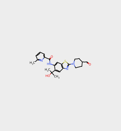 Cc1cccc(C(=O)Nc2cc3sc(N4CCC(C=O)CC4)nc3cc2C(C)(C)O)n1